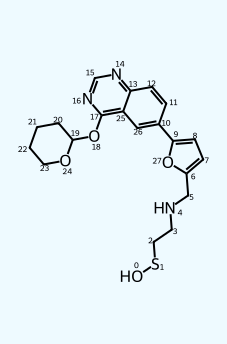 OSCCNCc1ccc(-c2ccc3ncnc(OC4CCCCO4)c3c2)o1